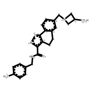 Cc1ccc(CNC(=O)c2noc3c2CCc2cc(CN4CC(C(=O)O)C4)ccc2-3)cc1